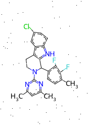 Cc1cc(C)nc(N2CCc3c([nH]c4ccc(Cl)cc34)C2c2ccc(C)c(F)c2F)n1